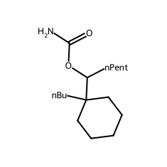 CCCCCC(OC(N)=O)C1(CCCC)CCCCC1